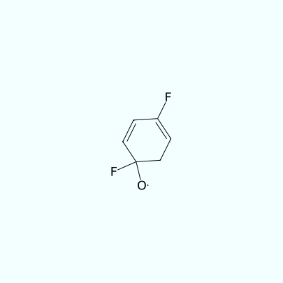 [O]C1(F)C=CC(F)=CC1